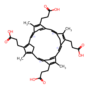 CC1=C2/C=C3C=C(/C=C4\C/C(=C\C5=CC(=C\C(=C1CCC(=O)O)C2)/C(C)=C5CCC(=O)O)C(C)=C4CCC(=O)O)C(C)=C\3CCC(=O)O